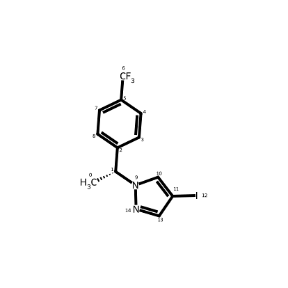 C[C@H](c1ccc(C(F)(F)F)cc1)n1cc(I)cn1